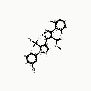 COC(=O)c1c(-c2c(F)cccc2Cl)noc1-c1cnn(-c2cccc(Cl)c2)c1C(F)(F)F